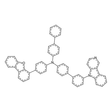 c1ccc(-c2ccc(N(c3ccc(-c4cccc(-n5c6ccccc6c6cnccc65)c4)cc3)c3ccc(-c4cccc5c4oc4ccccc45)cc3)cc2)cc1